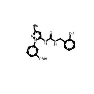 COc1cccc(-n2nc(C(C)(C)C)cc2NC(=O)NCc2ccccc2O)c1